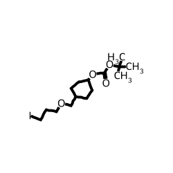 CC(C)(C)OC(=O)OC1CCC(COCCCI)CC1